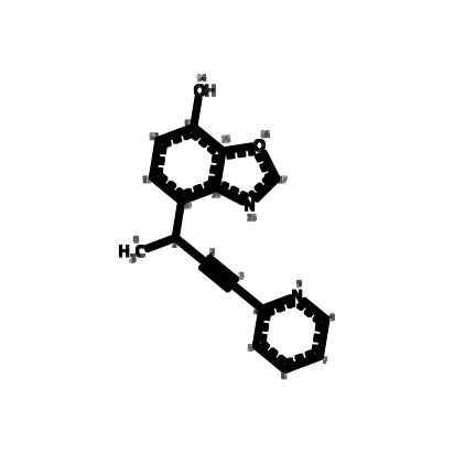 CC(C#Cc1ccccn1)c1ccc(O)c2ocnc12